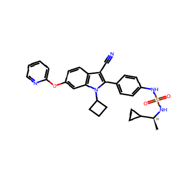 C[C@H](NS(=O)(=O)Nc1ccc(-c2c(C#N)c3ccc(Oc4ccccn4)cc3n2C2CCC2)cc1)C1CC1